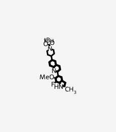 COc1c(-c2ccc3cc(C4CCN(C(=O)OC(C)(C)C)CC4)ccc3n2)cc2cc(C)[nH]c2c1F